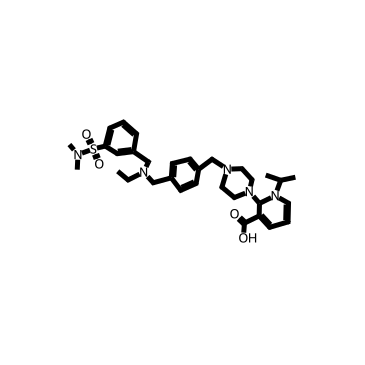 CCN(Cc1ccc(CN2CCN(C3C(C(=O)O)=CC=CN3C(C)C)CC2)cc1)Cc1cccc(S(=O)(=O)N(C)C)c1